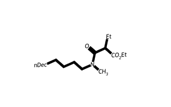 CCCCCCCCCCCCCCN(C)C(=O)C(CC)C(=O)OCC